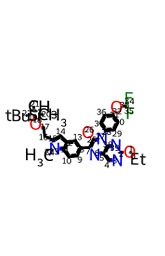 CCOc1ncc2nc(-c3ccc4c(c3)cc(CCO[Si](C)(C)C(C)(C)C)n4C)c(=O)n(-c3ccc(OC(F)F)cc3)c2n1